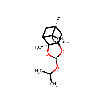 CC(C)OB1O[C@@H]2C[C@@H]3CC(C3(C)C)[C@]2(C)O1